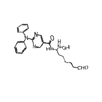 O=CCCCCCC(NO)NC(=O)c1cnc(N(c2ccccc2)c2ccccc2)nc1